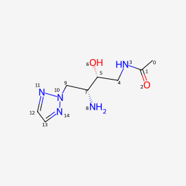 CC(=O)NC[C@@H](O)[C@H](N)Cn1nccn1